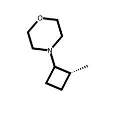 C[C@@H]1CCC1N1CCOCC1